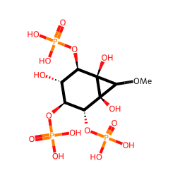 COC1[C@@]2(O)[C@H](OP(=O)(O)O)[C@@H](O)[C@H](OP(=O)(O)O)[C@@H](OP(=O)(O)O)[C@@]12O